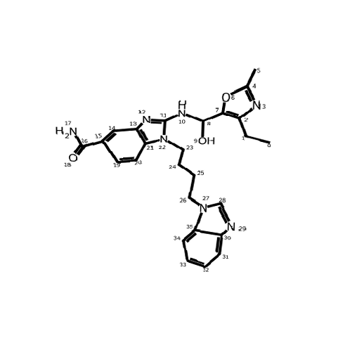 CCc1nc(C)oc1C(O)Nc1nc2cc(C(N)=O)ccc2n1CCCCn1cnc2ccccc21